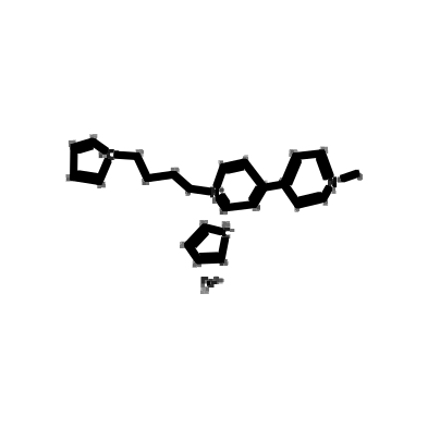 C[n+]1ccc(-c2cc[n+](CCCC[c-]3cccc3)cc2)cc1.[Fe+2].c1cc[cH-]c1